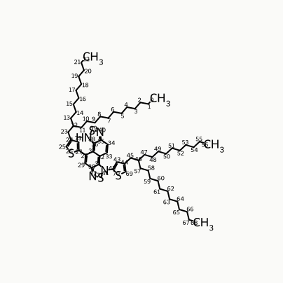 CCCCCCCCCCCCC(CCCCCCCCCC)Cc1csc(-c2cc3c(c4ccc5c(c24)NSN=5)N(c2cc(CC(CCCCCCCCCC)CCCCCCCCCCCC)cs2)SN=3)c1